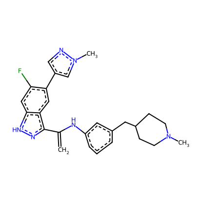 C=C(Nc1cccc(CC2CCN(C)CC2)c1)c1n[nH]c2cc(F)c(-c3cnn(C)c3)cc12